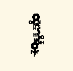 O=C(NCCSc1nc2ccccc2c(=O)[nH]1)c1nc2ccc(C(F)(F)F)cc2[nH]1